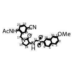 COc1ccc2ccc(S(=O)(=O)CNC3CCN(Cc4cc(C#N)ccc4NC(C)=O)C3=O)cc2c1